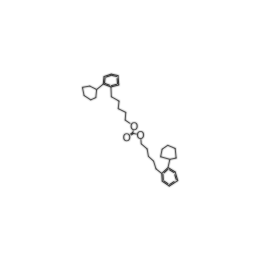 O=C(OCCCCCc1ccccc1C1CCCCC1)OCCCCCc1ccccc1C1CCCCC1